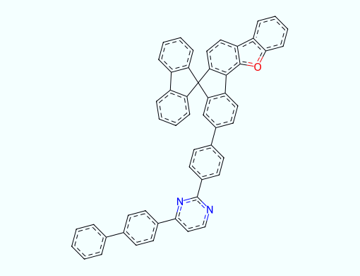 c1ccc(-c2ccc(-c3ccnc(-c4ccc(-c5ccc6c(c5)C5(c7ccccc7-c7ccccc75)c5ccc7c(oc8ccccc87)c5-6)cc4)n3)cc2)cc1